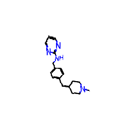 CN1CCC(Cc2ccc(CNc3ncccn3)cc2)CC1